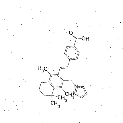 Cc1c(/C=C/c2ccc(C(=O)O)cc2)c(Cn2cccn2)c(C)c2c1CCCC2(C)C